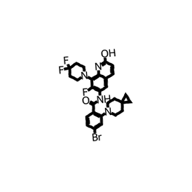 O=C(Nc1cc2ccc(O)nc2c(N2CCC(F)(F)CC2)c1F)c1ccc(Br)cc1N1CCC2(CC1)CC2